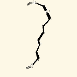 [CH2]CCCCC=C=CC/C=C/C/C=C/CCCCCCCC